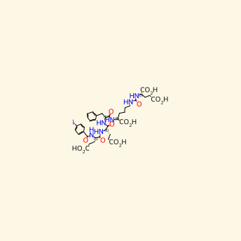 O=C(O)CC[C@H](NC(=O)NCCCC[C@H](NC(=O)[C@H](Cc1ccccc1)NC(=O)[C@H](CCC(=O)O)NC(=O)[C@H](CCC(=O)O)NC(=O)c1ccc(I)cc1)C(=O)O)C(=O)O